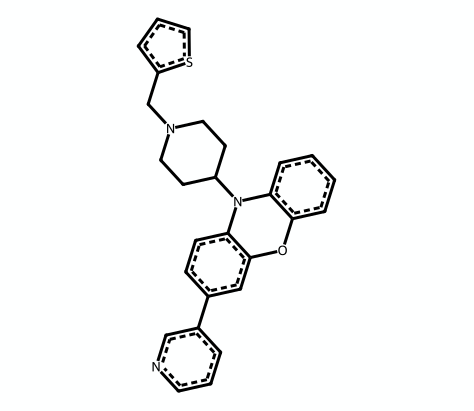 c1cncc(-c2ccc3c(c2)Oc2ccccc2N3C2CCN(Cc3cccs3)CC2)c1